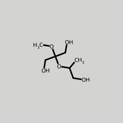 COC(CO)(CO)OC(C)CO